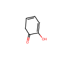 O=C1CC=C[C]=C1O